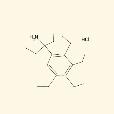 CCc1cc(C(N)(CC)CC)c(CC)c(CC)c1CC.Cl